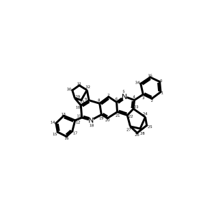 c1ccc(-c2nc3cc4c5c(c(-c6ccccc6)nc4cc3c3c2C2CCC3C2)C2CCC5C2)cc1